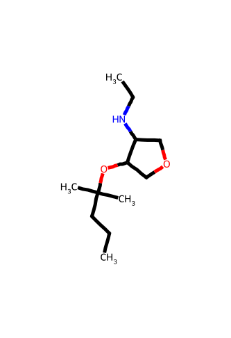 CCCC(C)(C)OC1COCC1NCC